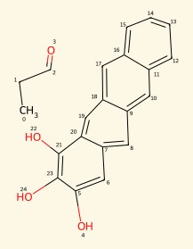 CCC=O.Oc1cc2cc3cc4ccccc4cc3cc2c(O)c1O